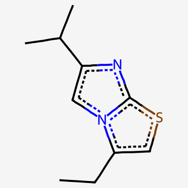 CCc1csc2nc(C(C)C)cn12